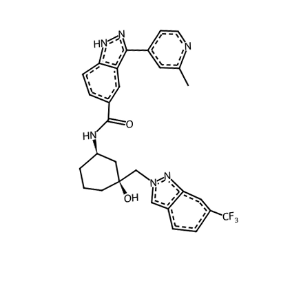 Cc1cc(-c2n[nH]c3ccc(C(=O)N[C@@H]4CCC[C@@](O)(Cn5cc6ccc(C(F)(F)F)cc6n5)C4)cc23)ccn1